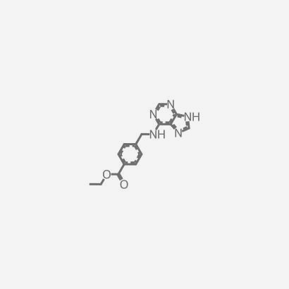 CCOC(=O)c1ccc(CNc2ncnc3[nH]cnc23)cc1